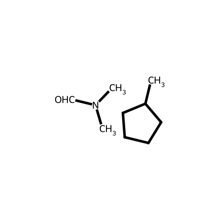 CC1CCCC1.CN(C)C=O